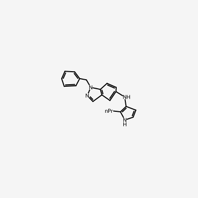 CCCc1[nH]ccc1Nc1ccc2c(cnn2Cc2ccccc2)c1